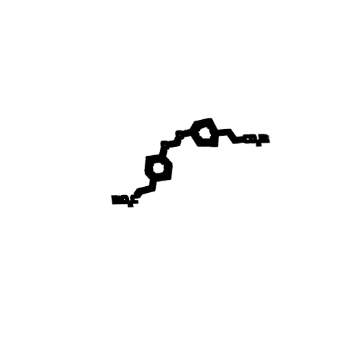 CCOC(=O)CCc1ccc(OCOc2ccc(CCC(=O)OCC)cc2)cc1